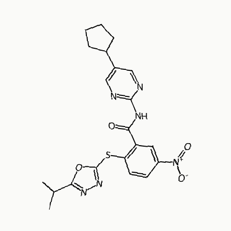 CC(C)c1nnc(Sc2ccc([N+](=O)[O-])cc2C(=O)Nc2ncc(C3CCCC3)cn2)o1